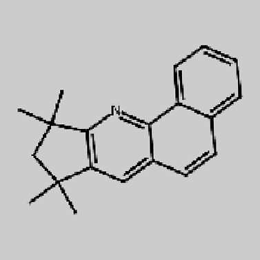 CC1(C)CC(C)(C)c2nc3c(ccc4ccccc43)cc21